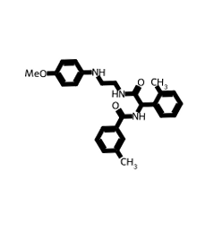 COc1ccc(NCCNC(=O)C(NC(=O)c2cccc(C)c2)c2ccccc2C)cc1